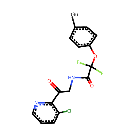 CC(C)(C)c1ccc(OC(F)(F)C(=O)NCC(=O)c2ncccc2Cl)cc1